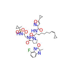 Cc1nc2cccc(F)c2nc1O[C@@H]1C[C@@H](C(=O)NCC(=O)NS(=O)(=O)C2(C)CC2)N(C(=O)[C@H](CCCCC/C=C\C2CC2)NC(=O)c2cc(C3CC3)on2)C1